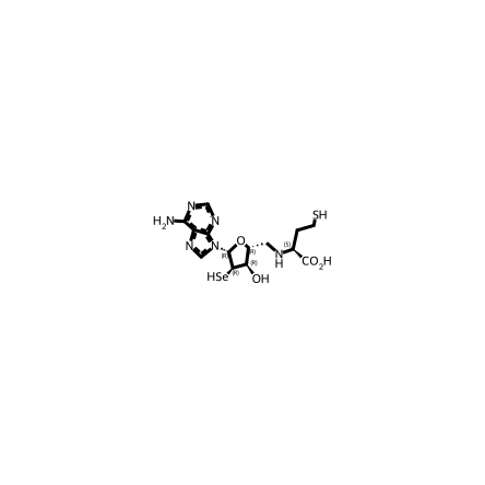 Nc1ncnc2c1ncn2[C@@H]1O[C@H](CN[C@@H](CCS)C(=O)O)[C@@H](O)[C@H]1[SeH]